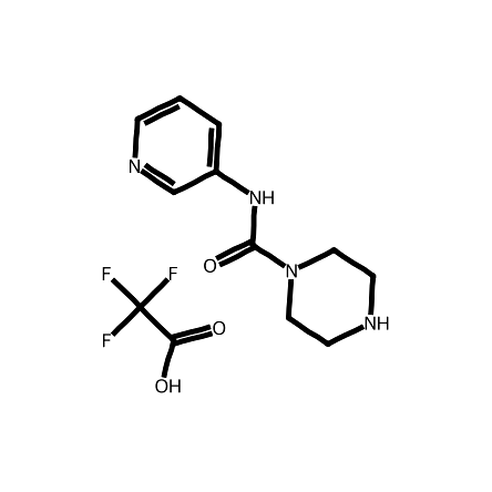 O=C(Nc1cccnc1)N1CCNCC1.O=C(O)C(F)(F)F